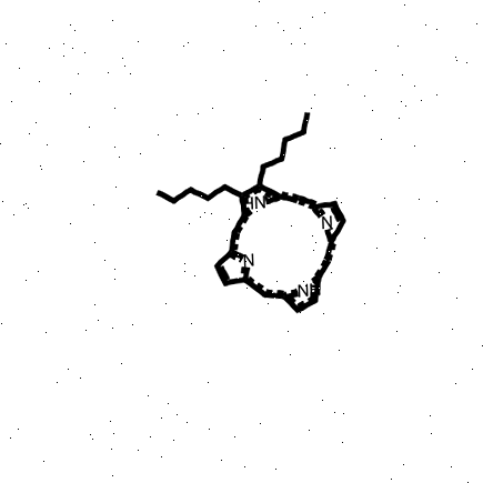 CCCCCc1c(CCCCC)c2cc3nc(cc4ccc(cc5nc(cc1[nH]2)C=C5)[nH]4)C=C3